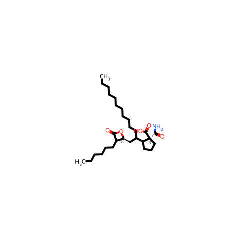 CCCCCCCCCCCC(C[C@@H]1OC(=O)C1CCCCCC)C1CCC[C@]1(C(N)=O)C(=O)O